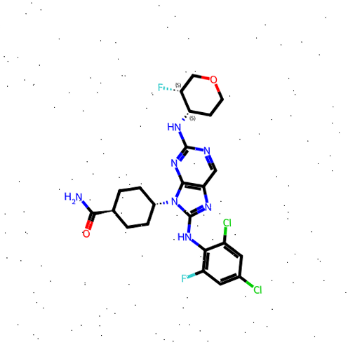 NC(=O)[C@H]1CC[C@H](n2c(Nc3c(F)cc(Cl)cc3Cl)nc3cnc(N[C@H]4CCOC[C@H]4F)nc32)CC1